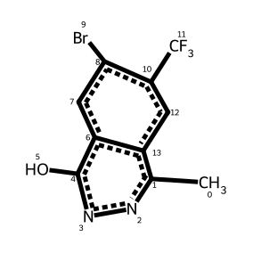 Cc1nnc(O)c2cc(Br)c(C(F)(F)F)cc12